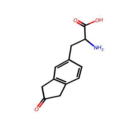 NC(Cc1ccc2c(c1)CC(=O)C2)C(=O)O